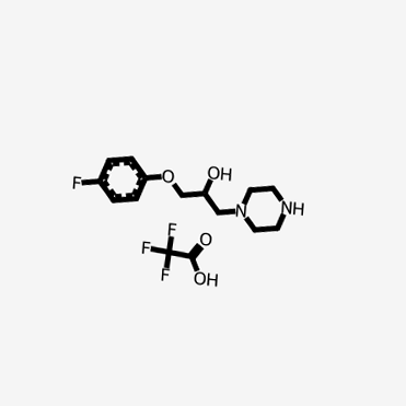 O=C(O)C(F)(F)F.OC(COc1ccc(F)cc1)CN1CCNCC1